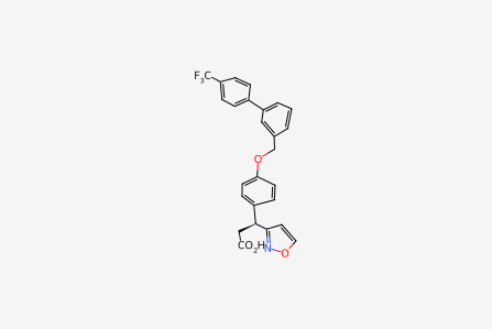 O=C(O)C[C@@H](c1ccc(OCc2cccc(-c3ccc(C(F)(F)F)cc3)c2)cc1)c1ccon1